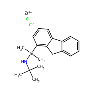 CC(C)(C)N[Si](C)(C)c1cccc2c1Cc1ccccc1-2.[Cl-].[Cl-].[Zr+2]